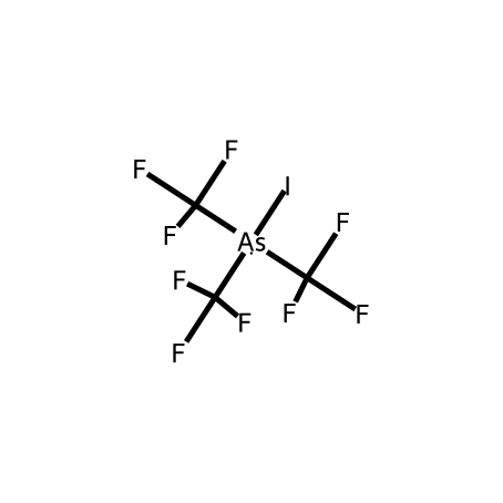 FC(F)(F)[As](I)(C(F)(F)F)C(F)(F)F